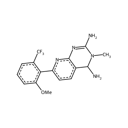 COc1cccc(C(F)(F)F)c1-c1ccc2c(n1)N=C(N)N(C)C2N